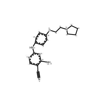 N#Cc1cnc(Nc2ccc(OCCN3CCCC3)cc2)nc1N